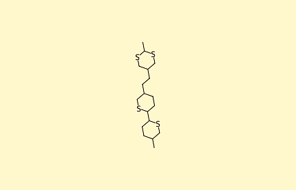 CC1CCC(C2CCC(CCC3CSC(C)SC3)CS2)SC1